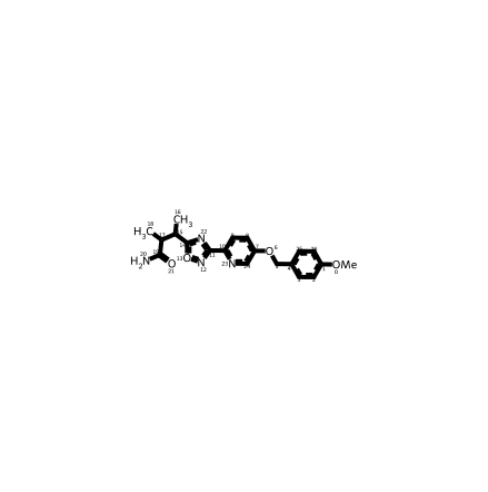 COc1ccc(COc2ccc(-c3noc(C(C)C(C)C(N)=O)n3)nc2)cc1